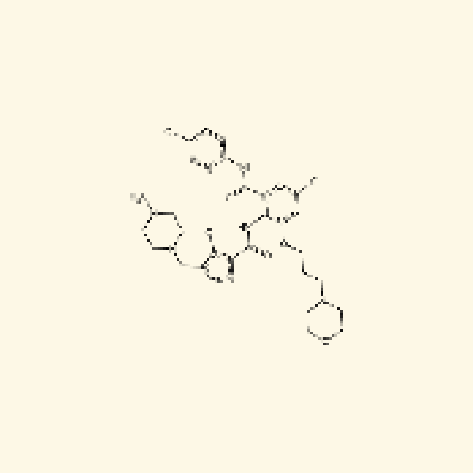 CN1CCN(Cc2csc(C(=O)Nc3c(OCCCN4CCOCC4)cc(Cl)cc3C(=O)Nc3ccc(Cl)cn3)c2Cl)CC1